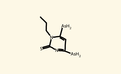 CCCn1c([AsH2])cc([AsH2])nc1=S